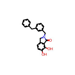 O=C1c2c(ccc(O)c2O)CN1Cc1cccc(Cc2ccccc2)c1